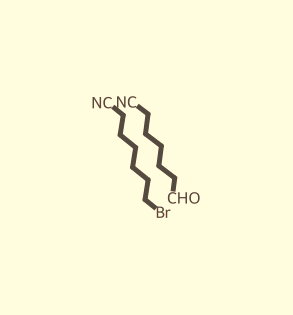 N#CCCCCCC=O.N#CCCCCCCBr